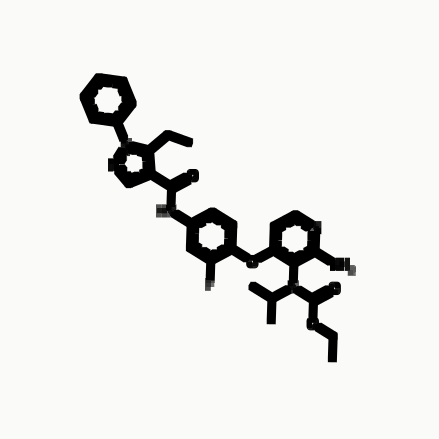 CCOC(=O)N(c1c(Oc2ccc(NC(=O)c3cnn(-c4ccccc4)c3CC)cc2F)ccnc1N)C(C)C